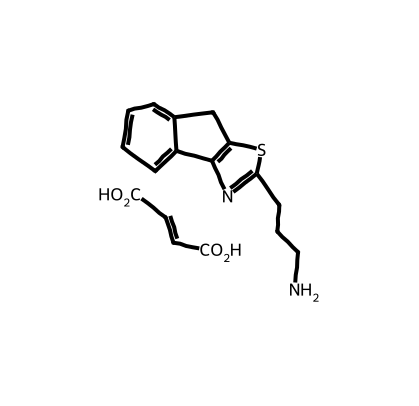 NCCCc1nc2c(s1)Cc1ccccc1-2.O=C(O)/C=C/C(=O)O